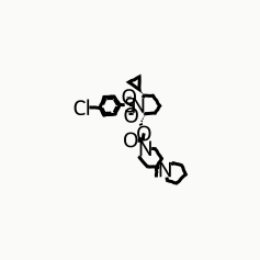 CC1(N2CCCCC2)CCN(C(=O)OC[C@H]2CCC[C@@H](C3CC3)N2S(=O)(=O)c2ccc(Cl)cc2)CC1